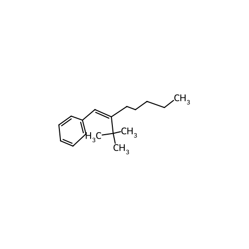 CCCCCC(=Cc1ccccc1)C(C)(C)C